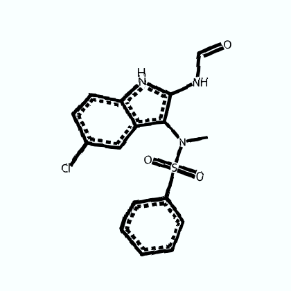 CN(c1c(NC=O)[nH]c2ccc(Cl)cc12)S(=O)(=O)c1ccccc1